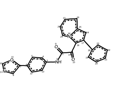 O=C(Nc1ccc(-c2cnco2)cc1)C(=O)c1c(-c2ccccc2)cc2ccccn12